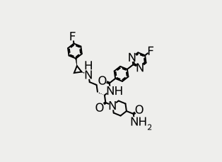 NC(=O)C1CCN(C(=O)[C@H](CCCN[C@@H]2C[C@H]2c2ccc(F)cc2)NC(=O)c2ccc(-c3ncc(F)cn3)cc2)CC1